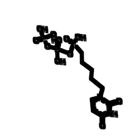 O=c1ccn(CCCCCP(=O)(O)OP(=O)(O)OP(=O)(O)O)c(=O)[nH]1